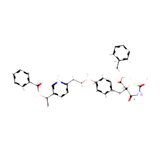 CC(OC(=O)c1ccccc1)c1ccc(CCOc2ccc(CC3(C(=O)OCc4ccccc4)SC(=O)NC3=O)cc2)nc1